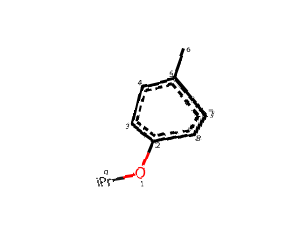 [CH2]C(C)Oc1ccc(C)cc1